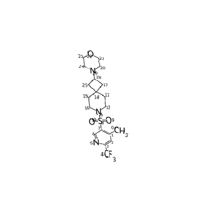 Cc1cc(C(F)(F)F)ncc1S(=O)(=O)N1CCC2(CC1)CC(N1CCOCC1)C2